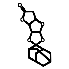 O=C1CC2OC3OC4(OC3C2O1)C1CC2CC(C1)CC4C2